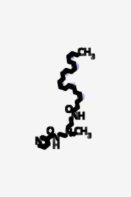 CC/C=C\C/C=C\C/C=C\C/C=C\C/C=C\C/C=C\CCC(=O)NCCCN(CC)CCNC(=O)c1cccnc1